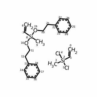 C=C[Si](C)(Cl)Cl.C=C[Si](C)(OCCc1ccccc1)OCCc1ccccc1